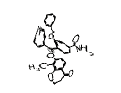 Cc1c(O[C@@H](c2ccncc2)c2ccc(C(N)=O)cc2OCc2ccccc2)ccc2c1OCCC2=O